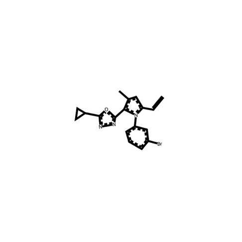 C=Cc1[c]c(C)c(-c2nnc(C3CC3)o2)n1-c1cccc(Br)c1